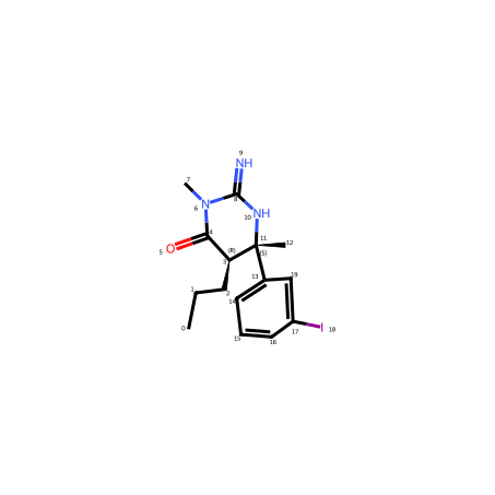 CCC[C@H]1C(=O)N(C)C(=N)N[C@]1(C)c1cccc(I)c1